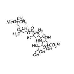 CCC(CC(C)C(=O)NC1C(O)CC(O)(C(=O)O)OC1C(O)C(O)CO)NC(=O)OCCC(C)(C)OCCC(C)(C)OC